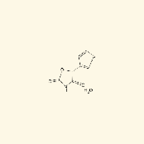 O.O=C1NC(=O)C(c2ccsc2)O1